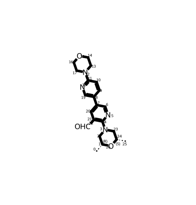 C[C@@H]1CN(c2ncc(-c3ccc(N4CCOCC4)nc3)cc2C=O)C[C@H](C)O1